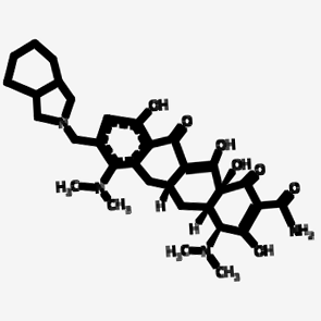 CN(C)c1c(CN2CC3CCCCC3C2)cc(O)c2c1C[C@H]1C[C@H]3[C@H](N(C)C)C(O)=C(C(N)=O)C(=O)[C@@]3(O)C(O)=C1C2=O